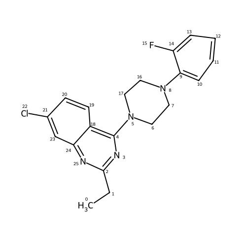 CCc1nc(N2CCN(c3ccccc3F)CC2)c2ccc(Cl)cc2n1